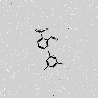 Cc1cc(C)cc(C)c1.O=Cc1ccccc1[PH](=O)O